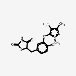 Cc1nn(C)c(Oc2cc(CC3SC(=O)NC3=O)ccc2Cl)c1C